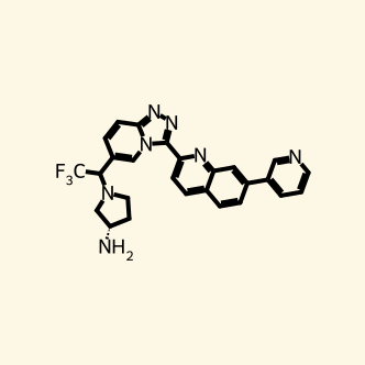 N[C@H]1CCN(C(c2ccc3nnc(-c4ccc5ccc(-c6cccnc6)cc5n4)n3c2)C(F)(F)F)C1